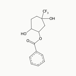 O=C(OC1CC(O)(C(F)(F)F)CCC1O)c1ccccc1